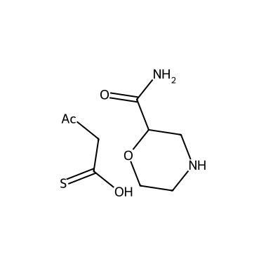 CC(=O)CC(O)=S.NC(=O)C1CNCCO1